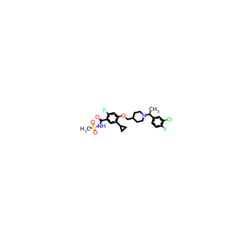 C[C@@H](c1ccc(F)c(Cl)c1)N1CCC(COc2cc(F)c(C(=O)NS(C)(=O)=O)cc2C2CC2)CC1